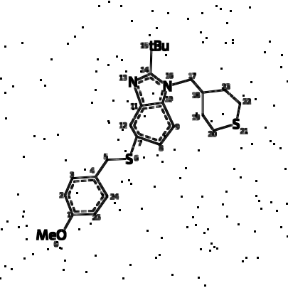 COc1ccc(CSc2ccc3c(c2)nc(C(C)(C)C)n3CC2CCSCC2)cc1